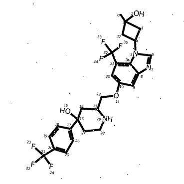 CC1(O)CC(n2cnc3cc(OCC4CC(O)(c5ccc(C(F)(F)F)cc5)CCN4)cc(C(F)(F)F)c32)C1